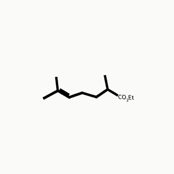 CCOC(=O)C(C)CCC=C(C)C